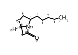 CCCCCC1CS[C@@H]2CC(=O)N12